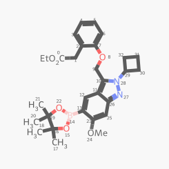 CCOC(=O)Cc1ccccc1OCc1c2cc(B3OC(C)(C)C(C)(C)O3)c(OC)cc2nn1C1CCC1